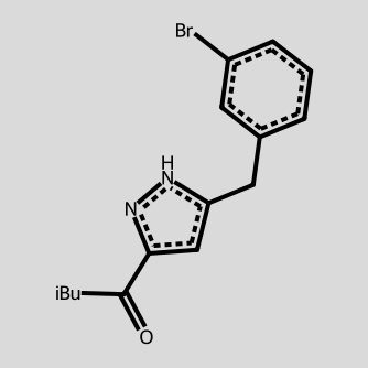 CCC(C)C(=O)c1cc(Cc2cccc(Br)c2)[nH]n1